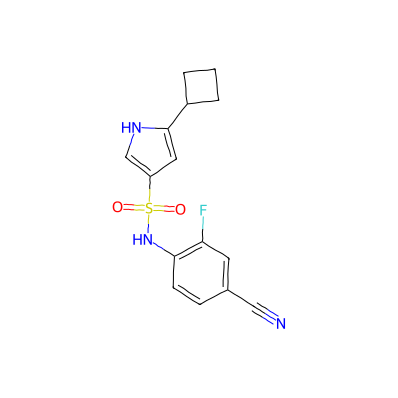 N#Cc1ccc(NS(=O)(=O)c2c[nH]c(C3CCC3)c2)c(F)c1